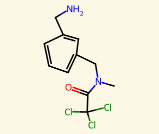 CN(Cc1cccc(CN)c1)C(=O)C(Cl)(Cl)Cl